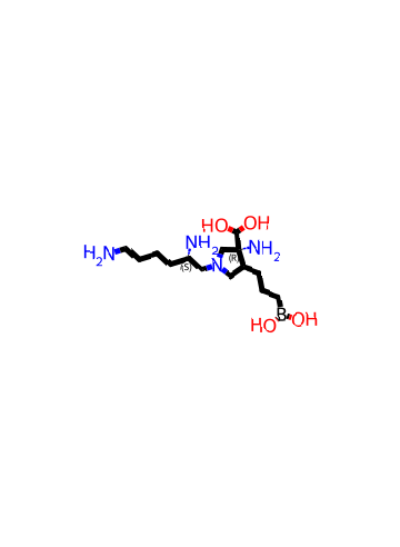 NCCCC[C@H](N)CN1CC(CCCB(O)O)[C@](N)(C(O)O)C1